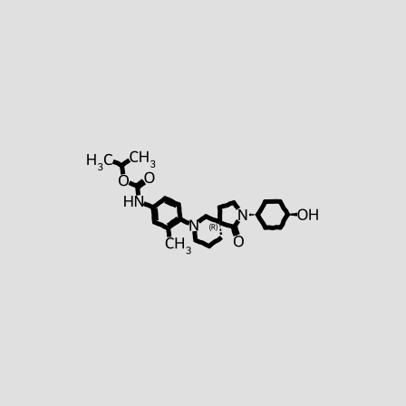 Cc1cc(NC(=O)OC(C)C)ccc1N1CCC[C@@]2(CCN([C@H]3CC[C@H](O)CC3)C2=O)C1